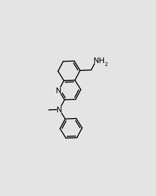 CN(c1ccccc1)c1ccc2c(n1)CCC=C2CN